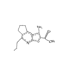 CCCc1nc2oc(C(=O)O)c(N)c2c2c1CCC2